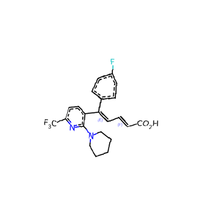 O=C(O)/C=C/C=C(\c1ccc(F)cc1)c1ccc(C(F)(F)F)nc1N1CCCCC1